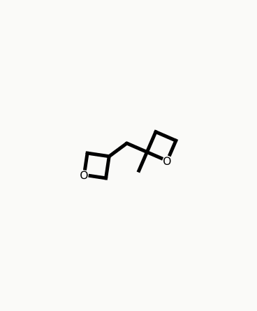 CC1(CC2COC2)CCO1